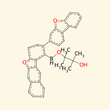 CC(C)(O)C(C)(C)OBc1c(-c2ccc3c(c2)oc2ccccc23)ccc2oc3cc4ccccc4cc3c12